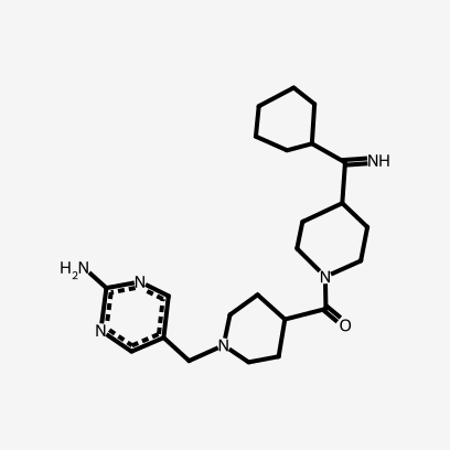 N=C(C1CCCCC1)C1CCN(C(=O)C2CCN(Cc3cnc(N)nc3)CC2)CC1